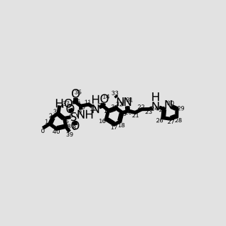 Cc1cc(C)c(S(=O)(=O)NC(CNC(=O)c2cccc3c(CCCNc4ccccn4)nn(C)c23)C(=O)O)c(C)c1